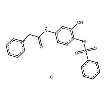 O=C(C[n+]1ccccc1)Nc1ccc(NS(=O)(=O)c2ccccc2)c(O)c1.[Cl-]